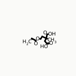 C=CC(=O)OCCC(C)(CC(=O)O)C(=O)O